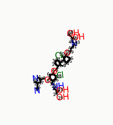 Cc1c(COc2cc(OCc3cncc(C#N)c3)c(CNCC(O)CO)cc2Cl)cccc1-c1cccc(OCCCN(C)CC(O)CO)c1Cl